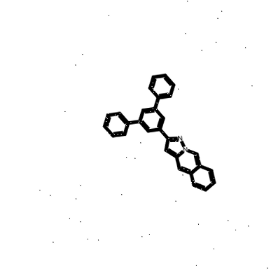 c1ccc(-c2cc(-c3ccccc3)cc(-c3cc4cc5ccccc5cn4n3)c2)cc1